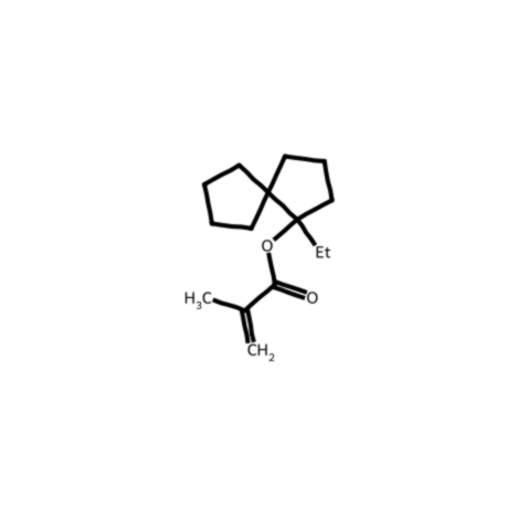 C=C(C)C(=O)OC1(CC)CCCC12CCCC2